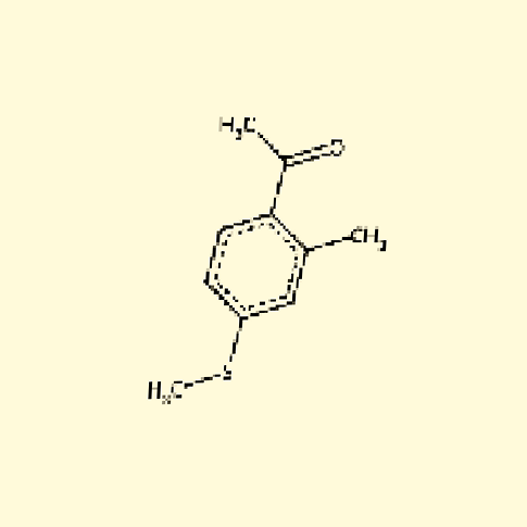 CSc1ccc(C(C)=O)c(C)c1